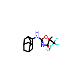 CC1(C(F)(F)F)OC(NC2C3CC4CC(C3)CC2C4)=NC1=O